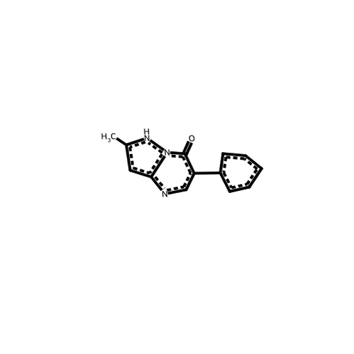 Cc1cc2ncc(-c3ccccc3)c(=O)n2[nH]1